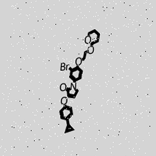 O=C1C(Oc2ccc(C3CC3)cc2)=CCN1c1ccc(OCCOC2CCCCO2)c(Br)c1